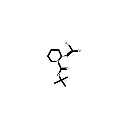 CC(C)(C)OC(=O)N1CCCC[C@H]1C=C(Br)Br